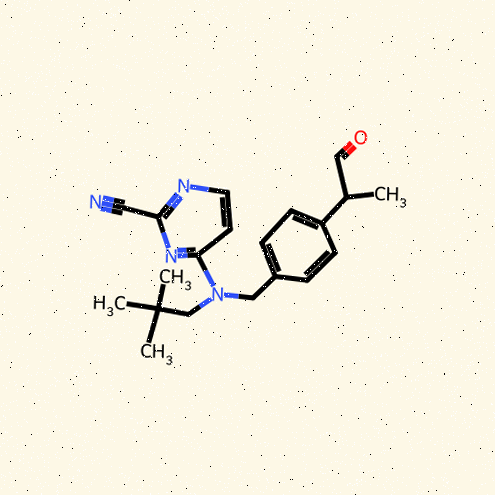 CC(C=O)c1ccc(CN(CC(C)(C)C)c2ccnc(C#N)n2)cc1